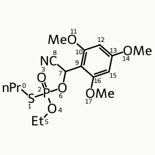 CCCSP(=O)(OCC)OC(C#N)c1c(OC)cc(OC)cc1OC